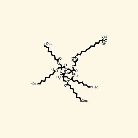 CCCCCCCCCCCCCCCCCC(=O)OCC(C)(COC(=O)CCCCCCCCCCCCCCCCC)C(=O)OCC(C)(COC(=O)C(C)(COC(=O)CCCCCCCCCCCCCCCCC)COC(=O)CCCCCCCCCCCCCCCCC)C(=O)OCc1cn(CCCCCCCCCCCP(=O)(O)O)nn1